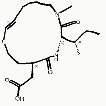 CC[C@H](C)[C@@H]1NC(=O)[C@@H](CC(=O)O)CCC/C=C/CCCN(C)C1=O